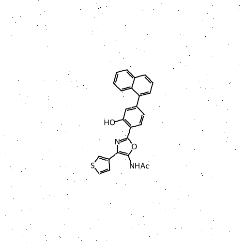 CC(=O)Nc1oc(-c2ccc(-c3cccc4ccccc34)cc2O)nc1-c1ccsc1